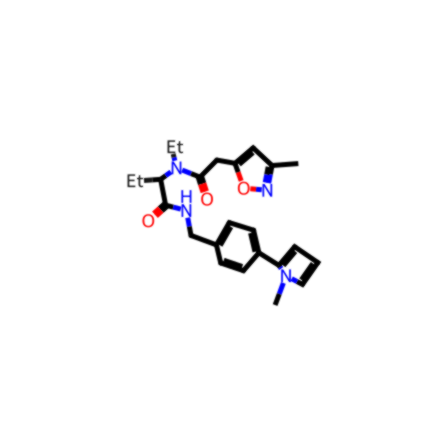 CCC(C(=O)NCc1ccc(-c2cccn2C)cc1)N(CC)C(=O)Cc1cc(C)no1